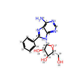 Nc1ncnc2c1nc(-c1ccccc1)n2[C@@H]1O[C@H](CO)[C@@H](O)[C@H]1O